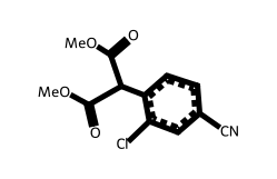 COC(=O)C(C(=O)OC)c1ccc(C#N)cc1Cl